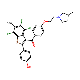 CC(=O)Oc1c(F)c(F)c2c(C(=O)c3ccc(OCCN4CCC(C)C4)cc3)c(-c3ccc(O)cc3)sc2c1F